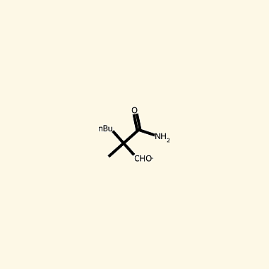 CCCCC(C)([C]=O)C(N)=O